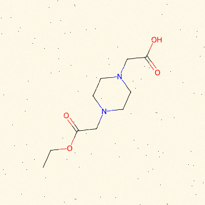 CCOC(=O)CN1CCN(CC(=O)O)CC1